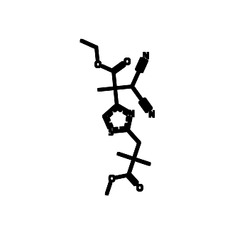 CCOC(=O)C(C)(c1csc(CC(C)(C)C(=O)OC)n1)C(C#N)C#N